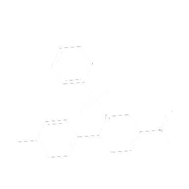 CC(=O)C1=CCC(c2ccc(C)cc2)N(S(=O)(=O)c2ccc(C)cc2)C1